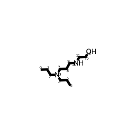 CCCN(CCC)CCCNCCO